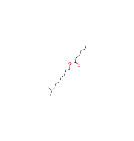 CCCCCC(=O)OCCCCCCCC(C)C